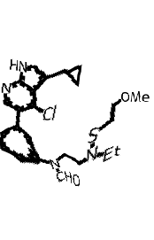 CCN(CCN(C=O)c1cccc(-c2cnc3[nH]cc(C4CC4)c3c2Cl)c1)SCCOC